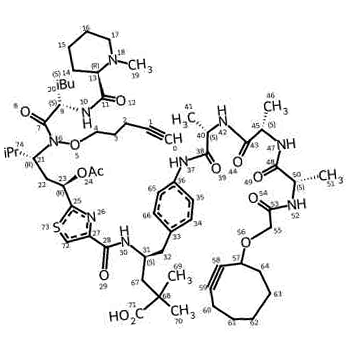 C#CCCCON(C(=O)[C@@H](NC(=O)[C@H]1CCCCN1C)[C@@H](C)CC)[C@H](C[C@@H](OC(C)=O)c1nc(C(=O)N[C@@H](Cc2ccc(NC(=O)[C@H](C)NC(=O)[C@H](C)NC(=O)[C@H](C)NC(=O)COC3C#CCCCCC3)cc2)CC(C)(C)C(=O)O)cs1)C(C)C